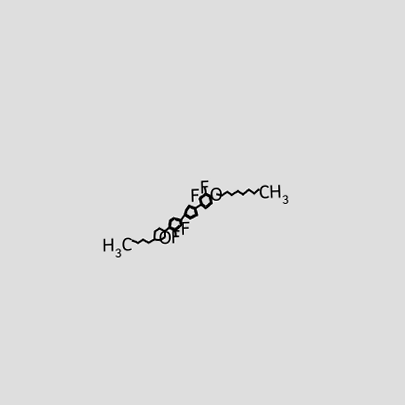 CCCCCCCCCOc1ccc(-c2ccc(-c3ccc(C4CCC(CCCCC)CO4)c(F)c3F)cc2)c(F)c1F